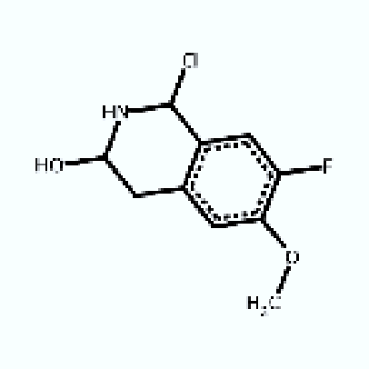 COc1cc2c(cc1F)C(Cl)NC(O)C2